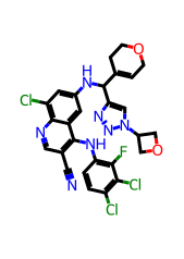 N#Cc1cnc2c(Cl)cc(NC(C3=CCOCC3)c3cn(C4COC4)nn3)cc2c1Nc1ccc(Cl)c(Cl)c1F